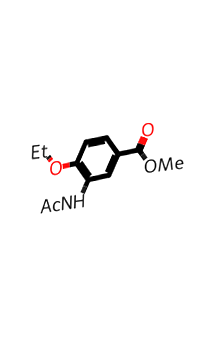 CCOc1ccc(C(=O)OC)cc1NC(C)=O